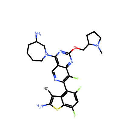 CN1CCCC1COc1nc(N2CCCCC(N)C2)c2cnc(-c3c(F)cc(F)c4sc(N)c(C#N)c34)c(F)c2n1